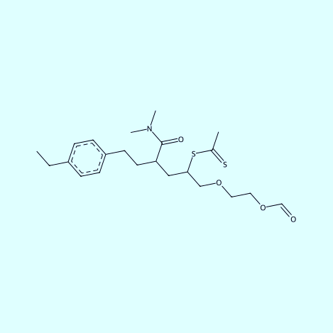 CCc1ccc(CCC(CC(COCCOC=O)SC(C)=S)C(=O)N(C)C)cc1